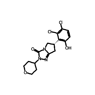 O=c1n(C2CCOCC2)nc2n1C[C@H](c1c(O)ccc(Cl)c1Cl)C2